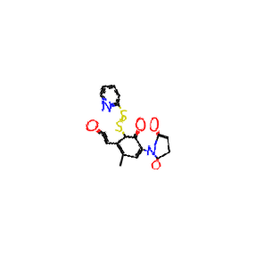 CC1=C(C=C=O)C(SSc2ccccn2)C(=O)C(N2C(=O)CCC2=O)=C1